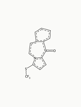 O=c1c2ccccc2ccn2c(SC(F)(F)F)ccc12